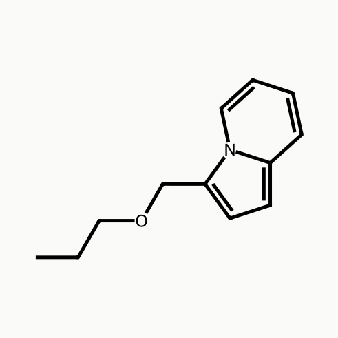 CCCOCc1ccc2ccccn12